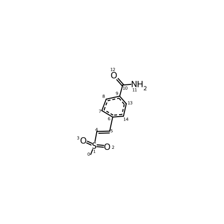 CS(=O)(=O)/C=C/c1ccc(C(N)=O)cc1